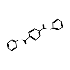 O=C(Oc1ccccc1)c1ccc(C(=O)Oc2ccccc2)cc1